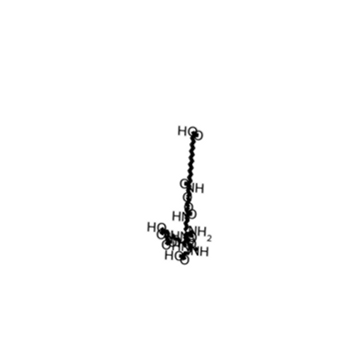 CN[C@@H](CCC(=O)O)C(=O)N[C@@H](CCCCN(CC(=O)O)CC(=O)O)C(=O)N[C@@H](CCCCNC(=O)COCCOCCNC(=O)CCCCCCCCCCCCCCC(=O)O)C(N)=O